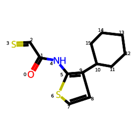 O=C(C=S)Nc1sccc1C1CCCCC1